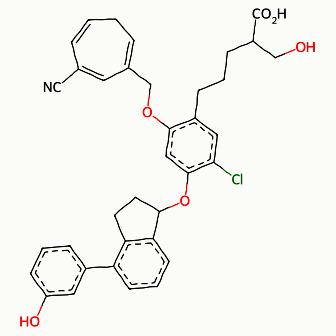 N#CC1=CC(COc2cc(OC3CCc4c(-c5cccc(O)c5)cccc43)c(Cl)cc2CCCC(CO)C(=O)O)=CCC=C1